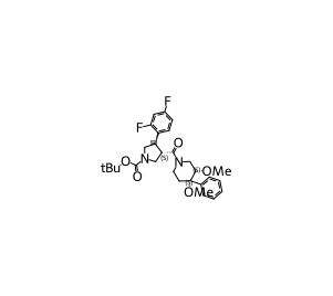 CO[C@H]1CN(C(=O)[C@@H]2CN(C(=O)OC(C)(C)C)C[C@H]2c2ccc(F)cc2F)CC[C@]1(OC)c1ccccc1